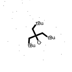 CC(C)(C)CC([O])(CC(C)(C)C)CC(C)(C)C